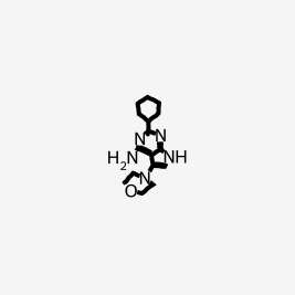 Nc1nc(C2CCCCC2)nc2[nH]cc(N3CCOCC3)c12